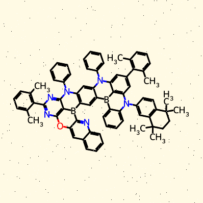 Cc1cccc(C)c1-c1cc2c3c(c1)N(c1ccccc1)c1cc4c(cc1B3c1ccccc1N2c1ccc2c(c1)C(C)(C)CCC2(C)C)B1c2nc3ccccc3cc2Oc2nc(-c3c(C)cccc3C)nc(c21)N4c1ccccc1